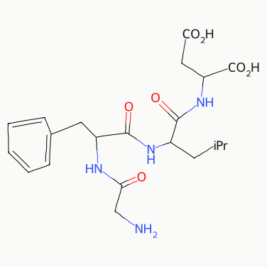 CC(C)CC(NC(=O)C(Cc1ccccc1)NC(=O)CN)C(=O)NC(CC(=O)O)C(=O)O